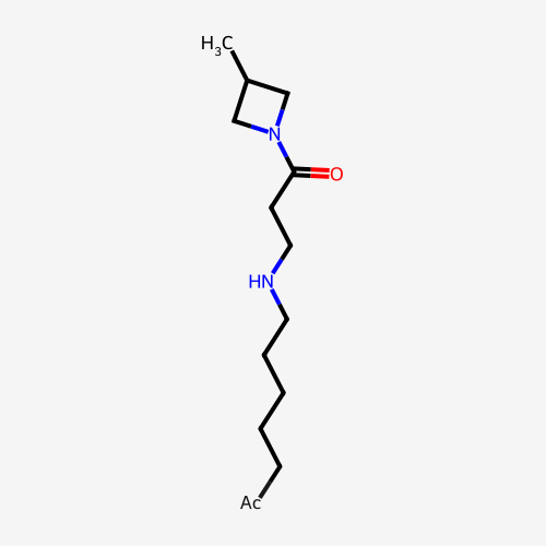 CC(=O)CCCCCNCCC(=O)N1CC(C)C1